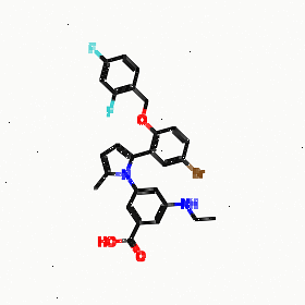 CCNc1cc(C(=O)O)cc(-n2c(C)ccc2-c2cc(Br)ccc2OCc2ccc(F)cc2F)c1